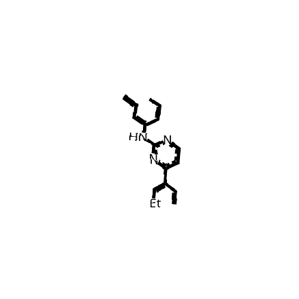 C=C/C=C(\C=C/C)Nc1nccc(/C(C=C)=C/CC)n1